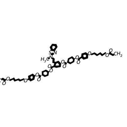 C=CC(=O)OCCCCCCOc1ccc(OC(=O)[C@H]2CC[C@H](OC(=O)c3ccc(OC(=O)[C@H]4CC[C@H](OC(=O)c5ccc(OCCCCCCOC(=O)C=C)cc5)CC4)cc3/C=C/N(C)c3nc4ccccc4s3)CC2)cc1